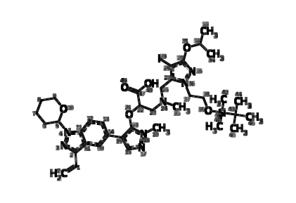 C=Cc1nn(C2CCCCO2)c2ccc(-c3cnn(C)c3OC(CN(C)Cc3c(I)c(OC(C)C)nn3CCO[Si](C)(C)C(C)(C)C)C(=O)O)cc12